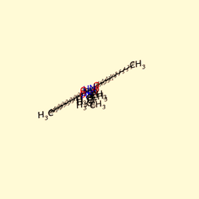 CCCCCCCCCCCCCCCCCCOC(=O)NC(CNC(=O)OCCCCCCCCCCCCCCCC)C(=O)NC(C)(C)C(C)(C)CC(C)C